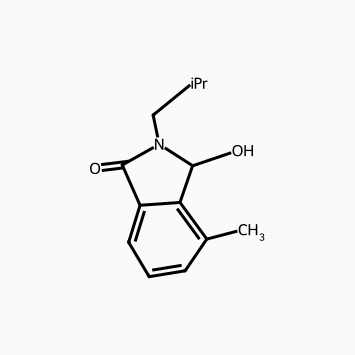 Cc1cccc2c1C(O)N(CC(C)C)C2=O